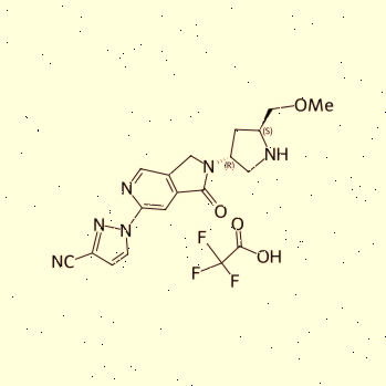 COC[C@@H]1C[C@@H](N2Cc3cnc(-n4ccc(C#N)n4)cc3C2=O)CN1.O=C(O)C(F)(F)F